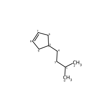 CC(C)CC[C]1CC=CC1